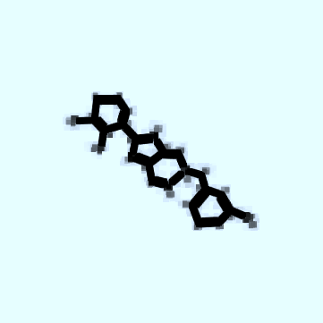 Fc1cccc(-c2nc3cnn(Cc4cccc(Br)c4)cc-3n2)c1F